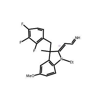 CCN1/C(=C\C=N)C(C)(Cc2ccc(F)c(F)c2F)c2cc(OC)ccc21